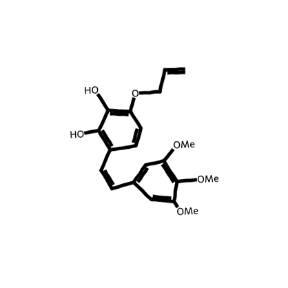 C=CCOc1ccc(/C=C\c2cc(OC)c(OC)c(OC)c2)c(O)c1O